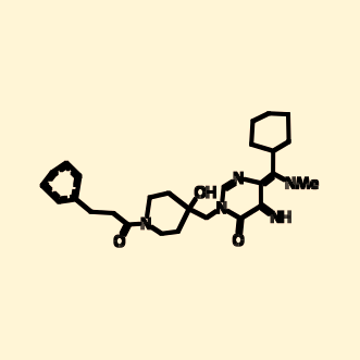 CN/C(=C1/N=CN(CC2(O)CCN(C(=O)CCc3ccccc3)CC2)C(=O)C1=N)C1CCCCC1